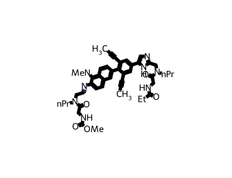 CC#Cc1cc(-c2cnc(CN(CCC)C(=O)CNC(=O)CC)[nH]2)cc(C#CC)c1-c1ccc2c(NC)c(/N=C/CN(CCC)C(=O)CNC(=O)OC)ccc2c1